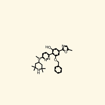 Cc1cnc(-c2cc(O)c(-c3ccc(N(C)C4CC(C)(C)NC(C)(C)C4)nn3)c(OCc3ccccc3)c2)o1